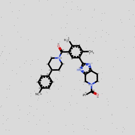 Cc1cc(C)c(-c2nc3c([nH]2)CN(C(=O)C(C)C)CC3)cc1C(=O)N1CCC(c2ccc(C#N)cc2)CC1